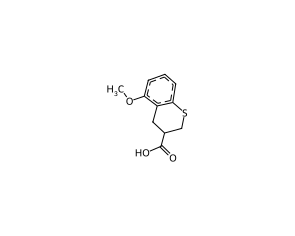 COc1cccc2c1CC(C(=O)O)CS2